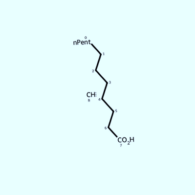 CCCCCCCCCCCC(=O)O.[CH]